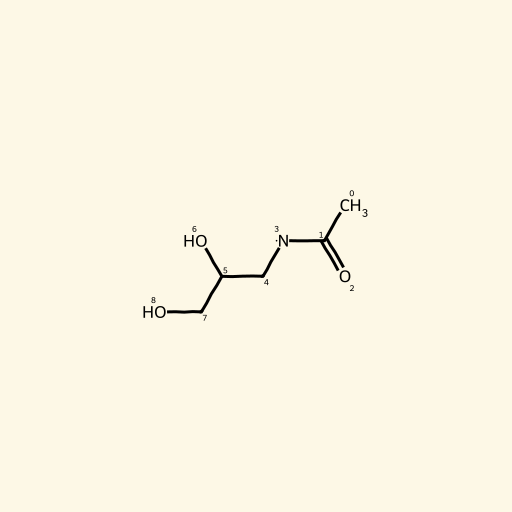 CC(=O)[N]CC(O)CO